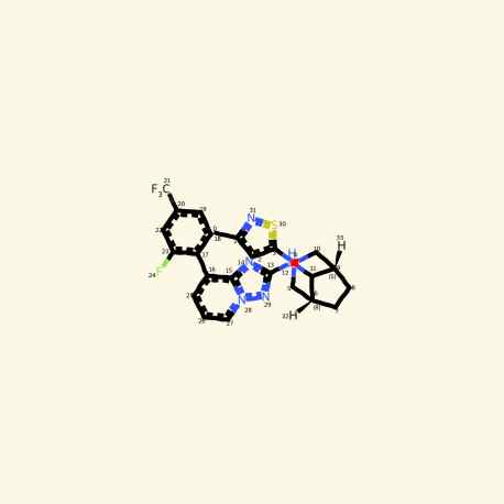 Cc1cc(N2C[C@H]3CC[C@@H](C2)C3Nc2nc3c(-c4ccc(C(F)(F)F)cc4F)cccn3n2)sn1